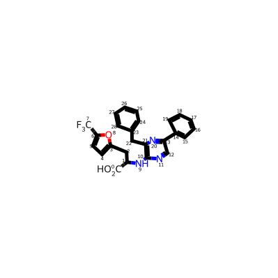 O=C(O)C(Cc1ccc(C(F)(F)F)o1)Nc1ncc(-c2ccccc2)nc1Cc1ccccc1